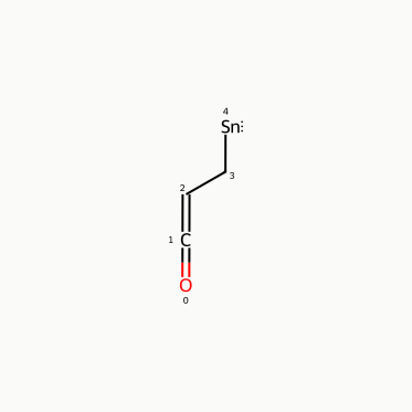 O=C=C[CH2][Sn]